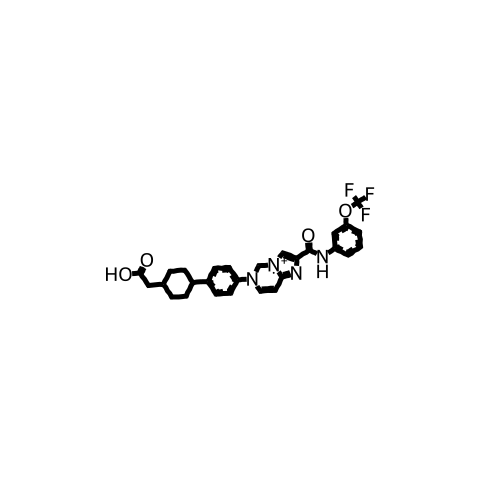 O=C(O)CC1CCC(c2ccc(N3C=CC4=NC(C(=O)Nc5cccc(OC(F)(F)F)c5)=C[N+]4C3)cc2)CC1